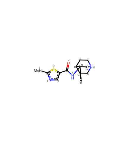 CNc1ncc(C(=O)N[C@H]2CN3CCC2CC3)s1